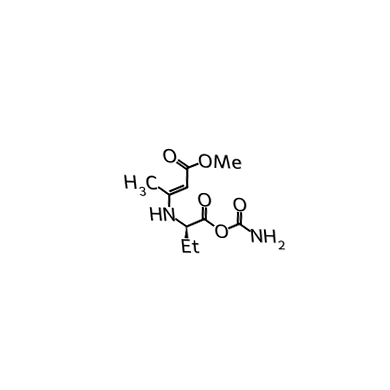 CC[C@@H](NC(C)=CC(=O)OC)C(=O)OC(N)=O